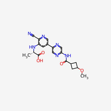 COC1CC(C(=O)Nc2cnc(-c3cnc(C#N)c(N[C@@H](C)C(=O)O)c3)cn2)C1